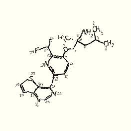 CC(C)C[C@](C)(N)COc1ccc(-c2ncnc3ccsc23)nc1C(F)F